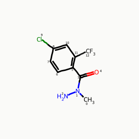 CN(N)C(=O)c1ccc(Cl)cc1C(F)(F)F